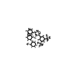 Fc1ccccc1-c1ccncc1CN1C(c2cccnc2)=NOC1c1cc(C(F)(F)F)cc(C(F)(F)F)c1